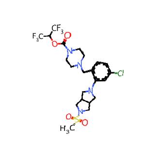 CS(=O)(=O)N1CC2CN(c3cc(Cl)ccc3CN3CCN(C(=O)OC(C(F)(F)F)C(F)(F)F)CC3)CC2C1